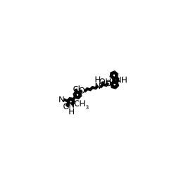 Cc1[nH]c(=O)c(C#N)cc1-c1ccc(OCCCCCNCC(O)COc2cccc3[nH]c4ccccc4c23)c(Cl)c1